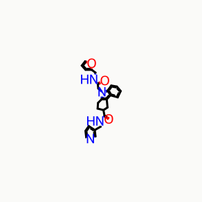 O=C(Cn1c2c(c3ccccc31)CC(C(=O)NCc1cccnc1)CC2)NCc1ccco1